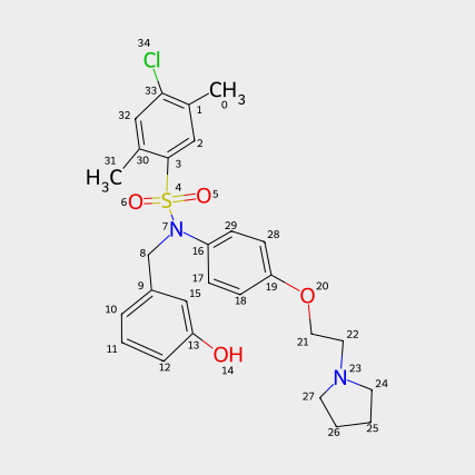 Cc1cc(S(=O)(=O)N(Cc2cccc(O)c2)c2ccc(OCCN3CCCC3)cc2)c(C)cc1Cl